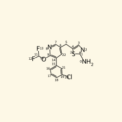 Nc1ncc(Cc2cnc(OC(F)F)c(-c3cccc(Cl)c3)c2)s1